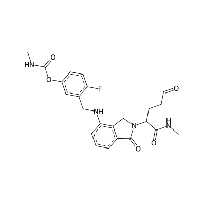 CNC(=O)Oc1ccc(F)c(CNc2cccc3c2CN(C(CCC=O)C(=O)NC)C3=O)c1